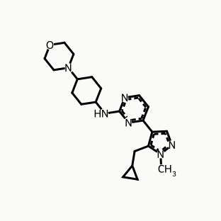 Cn1ncc(-c2ccnc(NC3CCC(N4CCOCC4)CC3)n2)c1CC1CC1